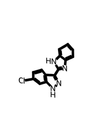 Clc1ccc2c(-c3nc4ccccc4[nH]3)n[nH]c2c1